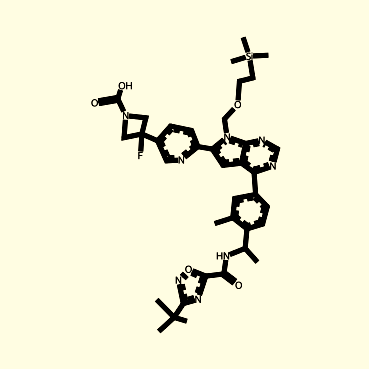 Cc1cc(-c2ncnc3c2cc(-c2ccc(C4(F)CN(C(=O)O)C4)cn2)n3COCC[Si](C)(C)C)ccc1C(C)NC(=O)c1nc(C(C)(C)C)no1